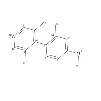 COc1ccc(-c2c(C)cncc2C)c(C)c1